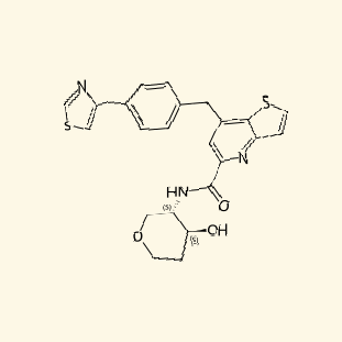 O=C(N[C@H]1COCC[C@@H]1O)c1cc(Cc2ccc(-c3cscn3)cc2)c2sccc2n1